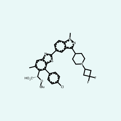 Cc1cc2nc(-c3ccc4c(c3)c(C3CCN(C5CC(F)(F)C5)CC3)nn4C)sc2c(-c2ccc(Cl)cc2)c1[C@H](OC(C)(C)C)C(=O)O